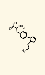 CCCc1cccn1-c1ccc(C[C@H](N)C(=O)O)cc1